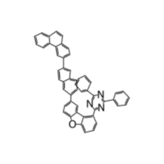 c1ccc(-c2nc(-c3ccccc3)nc(-c3cccc4oc5ccc(-c6ccc7cc(-c8ccc9ccc%10ccccc%10c9c8)ccc7c6)cc5c34)n2)cc1